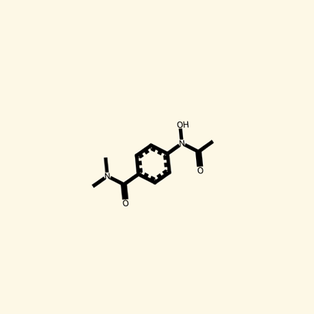 CC(=O)N(O)c1ccc(C(=O)N(C)C)cc1